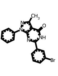 Cc1nn(-c2ccccc2)c2nc(-c3cccc(Br)c3)[nH]c(=O)c12